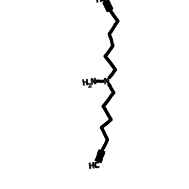 C#CCCCCCN(N)CCCCCC#C